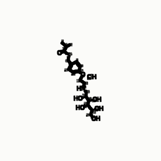 CC(C)C(=O)SCc1ccc(OCCNC[C@@H](O)[C@@H](O)[C@H](O)[C@H](O)CO)cc1.Cl